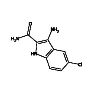 NC(=O)c1[nH]c2ccc(Cl)cc2c1N